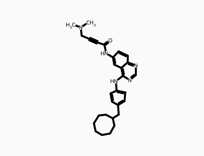 CN(C)CC#CC(=O)Nc1ccc2ncnc(Nc3ccc(CC4CCCCCCC4)cc3)c2c1